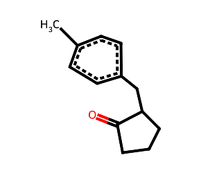 Cc1ccc(CC2CCCC2=O)cc1